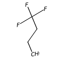 [CH]CCC(F)(F)F